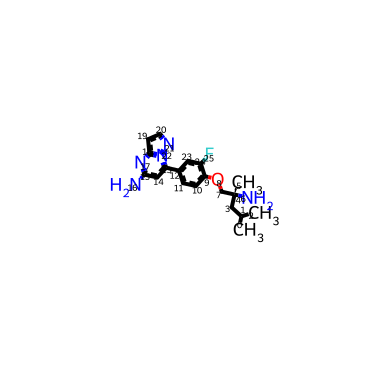 CC(C)C[C@](C)(N)COc1ccc(-c2cc(N)nc3ccnn23)cc1F